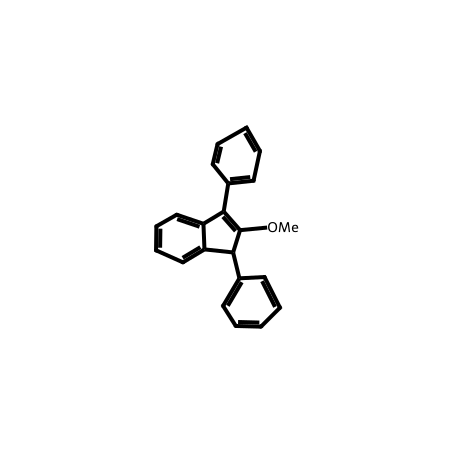 COC1=C(c2ccccc2)c2ccccc2C1c1ccccc1